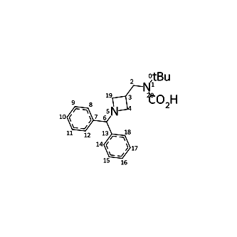 CC(C)(C)N(CC1CN(C(c2ccccc2)c2ccccc2)C1)C(=O)O